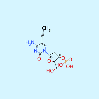 CC#Cc1cn([C@H]2C[C@@H](OP(=O)(O)O)C(CO)O2)c(=O)nc1N